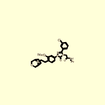 COc1cc(-n2nc(-c3cccc(Cl)c3)n(CC(=O)NC(C)C)c2=O)ccc1CCN1C2CCC1COC2